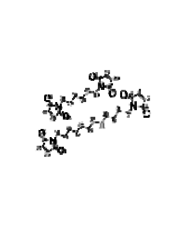 O=C1C=CC(=O)N1CCCCCCCCCCCCN1C(=O)C=CC1=O.O=C1C=CC(=O)N1CCCCCCN1C(=O)C=CC1=O